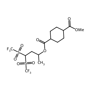 COC(=O)C1CCC(C(=O)OC(C)CC(S(=O)(=O)C(F)(F)F)S(=O)(=O)C(F)(F)F)CC1